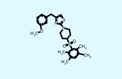 COc1cccc(Cc2csc(N3CCC(S(=O)(=O)c4c(C)c(C)cc(C)c4C)CC3)n2)c1